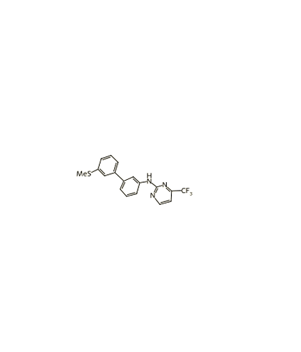 CSc1cccc(-c2cccc(Nc3nccc(C(F)(F)F)n3)c2)c1